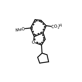 COc1ccc(C(=O)O)c2cc(C3CCCC3)oc12